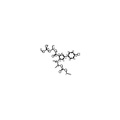 CCOC(=O)OC(C)N(C)c1cc(-c2ccc(Cl)cc2)sc1C(=O)OC(C)OC(=O)OC